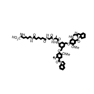 C=Nc1cc(OCc2cc(COc3cc4c(cc3OC)C(=O)N3c5ccccc5C[C@H]3CN4)cc(NC(=O)[C@H](C)NC(=O)CNC(=O)CCCCC(=O)NCCCCC(N)C(=O)O)c2)c(OC)cc1C(=O)N1CCc2ccccc21